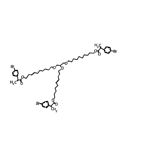 C=C(C(=O)OCCCCCCCCCCOCC(COCCCCCCCCCCOC(=O)C(=C)c1ccc(Br)cc1)OCCCCCCCCCCOC(=O)C(=C)c1ccc(Br)cc1)c1ccc(Br)cc1